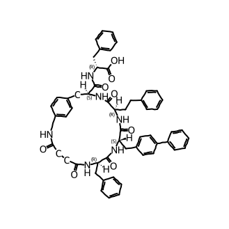 O=C1CCC(=O)N[C@H](Cc2ccccc2)C(=O)N[C@@H](Cc2ccc(-c3ccccc3)cc2)C(=O)N[C@H](CCc2ccccc2)C(=O)N[C@H](C(=O)N[C@H](Cc2ccccc2)C(=O)O)Cc2ccc(cc2)N1